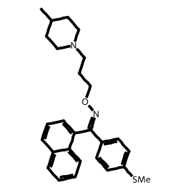 CSc1ccc(/C(=N/OCCCN2CCC(C)CC2)c2cccc3ccccc23)cc1